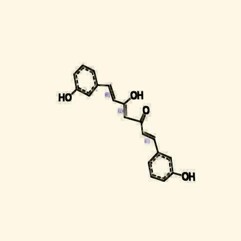 O=C(/C=C(O)/C=C/c1cccc(O)c1)/C=C/c1cccc(O)c1